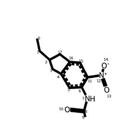 CCC1Cc2cc(NC(C)=O)c([N+](=O)[O-])cc2C1